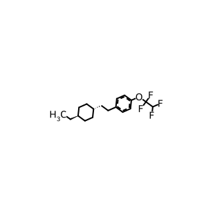 CC[C@H]1CC[C@H](CCc2ccc(OC(F)(F)C(F)F)cc2)CC1